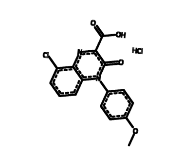 COc1ccc(-n2c(=O)c(C(=O)O)nc3c(Cl)cccc32)cc1.Cl